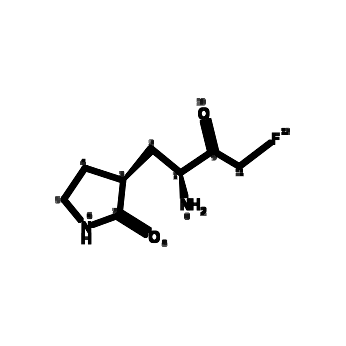 N[C@@H](C[C@@H]1CCNC1=O)C(=O)CF